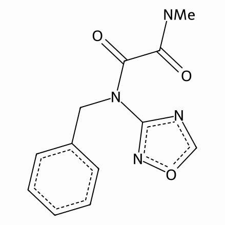 CNC(=O)C(=O)N(Cc1ccccc1)c1ncon1